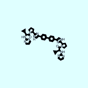 O=C(C(Nc1ncccn1)C1CC1)N1CCCC1c1nc(-c2ccc(-c3ccc(-c4c[nH]c(C5CCCN5C(=O)C(Nc5ncccn5)C5CC5)n4)cc3)cc2)c[nH]1